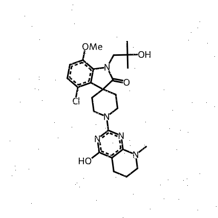 COc1ccc(Cl)c2c1N(CC(C)(C)O)C(=O)C21CCN(c2nc(O)c3c(n2)N(C)CCC3)CC1